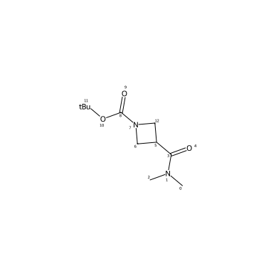 CN(C)C(=O)C1CN(C(=O)OC(C)(C)C)C1